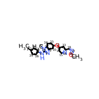 CCc1ccc(Nc2nc3cc(Oc4ccnc(/C=N\OC)c4)ccc3n2C)cc1